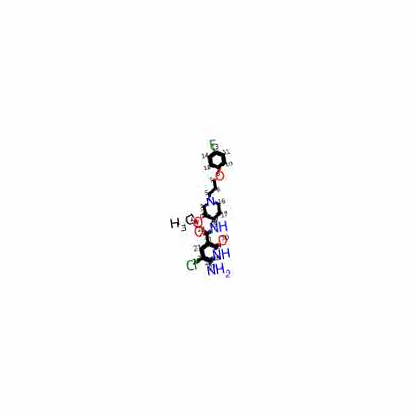 CO[C@@H]1CN(CCCOc2ccc(F)cc2)CC[C@@H]1NC(=O)c1cc(Cl)c(N)[nH]c1=O